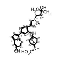 CC(C)(O)C(F)Cn1cc(-c2cnc(-c3ccc4cc(C#N)cnn34)cc2NC23CCC(NC(=O)O)(CC2)CC3)nn1